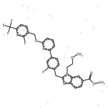 COCCn1c(Cc2ccc(-c3cccc(OCc4ccc(C(F)(F)F)nc4F)n3)cc2F)nc2ccc(C(=O)OC)cc21